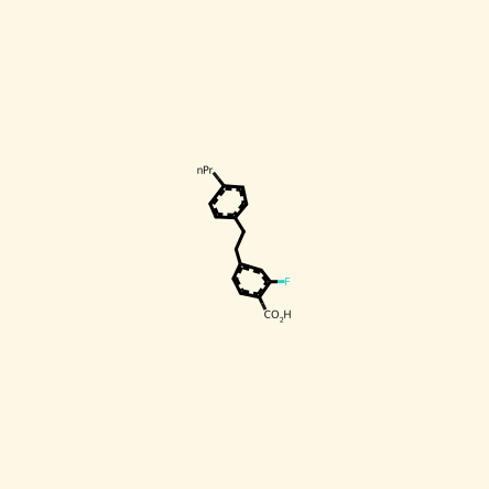 CCCc1ccc(CCc2ccc(C(=O)O)c(F)c2)cc1